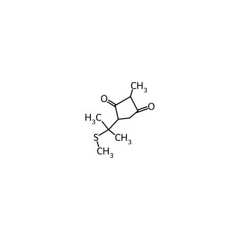 CSC(C)(C)C1CC(=O)C(C)C1=O